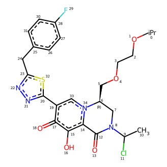 CC(C)OCCOC[C@H]1CN(C(C)Cl)C(=O)c2c(O)c(=O)c(-c3nnc(Cc4ccc(F)cc4)s3)cn21